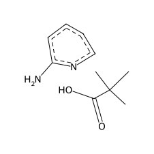 CC(C)(C)C(=O)O.Nc1ccccn1